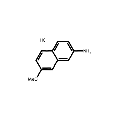 COc1ccc2ccc(N)cc2c1.Cl